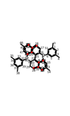 Cc1cc(C)cc(P(c2cc(C)cc(C)c2)c2ccc3c(c2C2=C4OCOC4=CC[C@H]2P(c2cc(C)cc(C)c2)c2cc(C)cc(C)c2)OCO3)c1